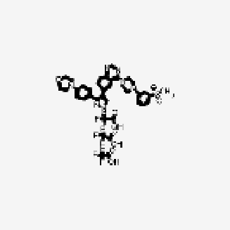 CS(=O)(=O)c1cccc(N2CCN(c3ncnc4ccc(-c5c[nH]nc5-c5ccc(N6CCOCC6)cc5)cc34)CC2)c1.O=C(O)C(F)(F)F.O=C(O)C(F)(F)F.O=C(O)C(F)(F)F